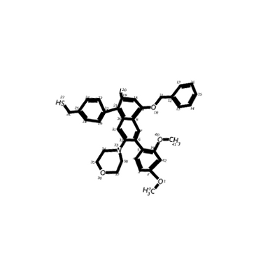 COc1ccc(-c2cc3c(OCc4ccccc4)cc(I)c(-c4ccc(CS)cc4)c3cc2N2CCOCC2)c(OC)c1